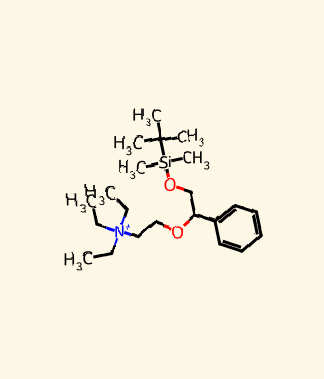 CC[N+](CC)(CC)CCOC(CO[Si](C)(C)C(C)(C)C)c1ccccc1